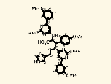 COc1ccc(C(C(Nc2cc(-c3cccc(OC)c3)nc(OC)n2)C(=O)O)N(CCc2c[nH]cn2)c2cc(-c3cccc(OC)c3)nc(OC)n2)cc1